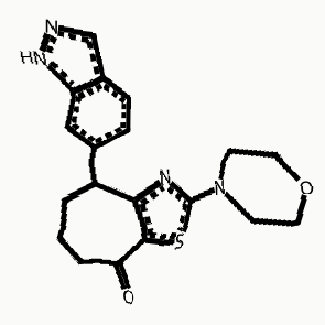 O=C1CCCC(c2ccc3cn[nH]c3c2)c2nc(N3CCOCC3)sc21